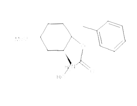 CO[C@@H]1CC[C@@](Cc2ccccc2)(OC(N)=O)[C@@H](CO)C1